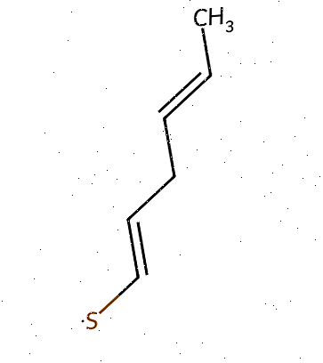 CC=CCC=C[S]